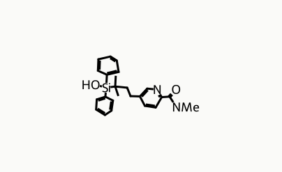 CNC(=O)c1ccc(CCC(C)(C)[Si](O)(c2ccccc2)c2ccccc2)cn1